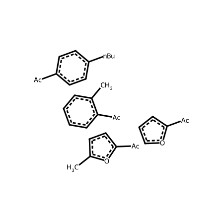 CC(=O)c1ccc(C)o1.CC(=O)c1ccccc1C.CC(=O)c1ccco1.CCCCc1ccc(C(C)=O)cc1